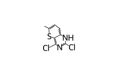 CC1=CC=C2NC(Cl)=NC(Cl)=C2S1